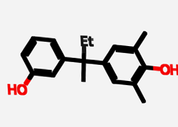 CCC(C)(c1cccc(O)c1)c1cc(C)c(O)c(C)c1